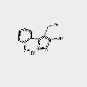 CCn1nc(O)c(CC(C)C)c1-c1ccccc1C